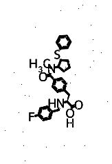 CN(C(=O)c1ccc(C[C@H](NCc2ccc(F)cc2)C(=O)O)cc1)C1CCCC1Sc1ccccc1